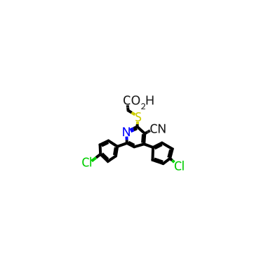 N#Cc1c(-c2ccc(Cl)cc2)cc(-c2ccc(Cl)cc2)nc1SCC(=O)O